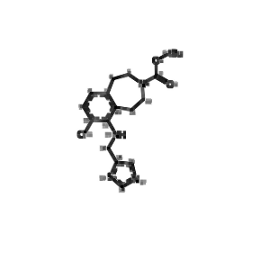 CC(C)(C)OC(=O)N1CCc2ccc(Cl)c(NCc3cncs3)c2CC1